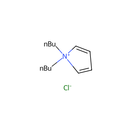 CCCC[N+]1(CCCC)C=CC=C1.[Cl-]